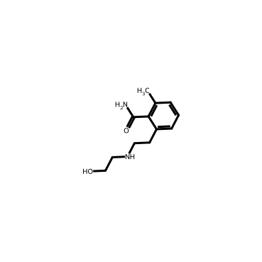 Cc1cccc(CCNCCO)c1C(N)=O